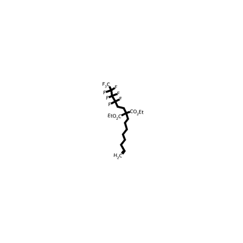 C=CCCCCCCC(CCC(F)(F)C(F)(F)C(F)(F)C(F)(F)F)(C(=O)OCC)C(=O)OCC